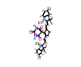 CCN1/C(=C\C=C2/CCC(/C=C/C3=[N+](CC)c4ccc(Cl)cc4C3(C)C)=C2c2c([O-])n(C)c(=O)n(C)c2=O)C(C)(C)c2cc(Cl)ccc21